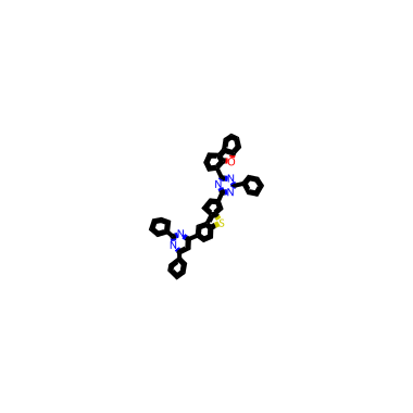 c1ccc(-c2cc(-c3ccc4sc5cc(-c6nc(-c7ccccc7)nc(-c7cccc8c7oc7ccccc78)n6)ccc5c4c3)nc(-c3ccccc3)n2)cc1